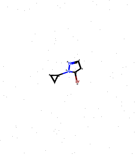 BrC1CC=NN1C1CC1